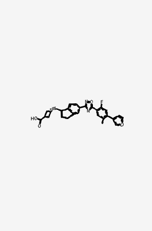 Cc1cc(-c2nc(-c3ccc4c(c3)CCC4NC3CC(C(=O)O)C3)no2)c(F)cc1-c1ccoc1